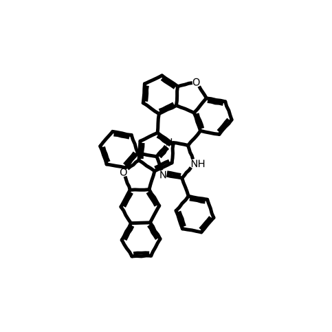 c1ccc(C2=NC(c3cccc4oc5cccc(-c6ccc7c(c6)oc6cc8ccccc8cc67)c5c34)NC(c3ccccc3)=N2)cc1